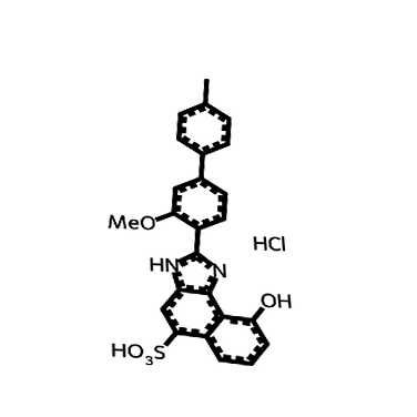 COc1cc(-c2ccc(C)cc2)ccc1-c1nc2c(cc(S(=O)(=O)O)c3cccc(O)c32)[nH]1.Cl